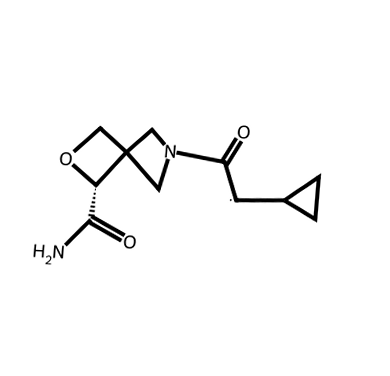 NC(=O)[C@@H]1OCC12CN(C(=O)[CH]C1CC1)C2